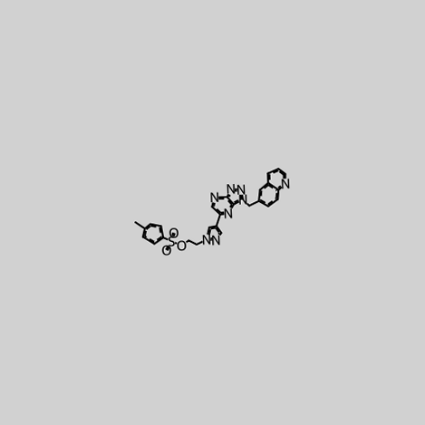 Cc1ccc(S(=O)(=O)OCCn2cc(-c3cnc4nnn(Cc5ccc6ncccc6c5)c4n3)cn2)cc1